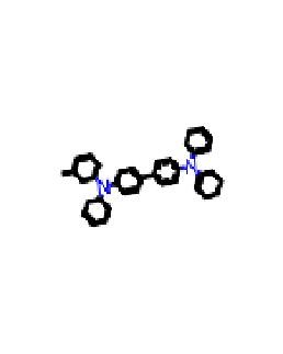 CC1C=CC=C(N(C2C=CC(c3ccc(N(C4=CC=CCC4)C4=CCCCC4)cc3)=CC2)C2CC=CCC2)C1